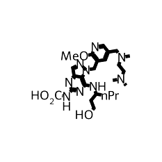 CCCC(CCO)Nc1nc(NC(=O)O)nc2cnn(Cc3cc(CN(C)CCN(C)C)cnc3OC)c12